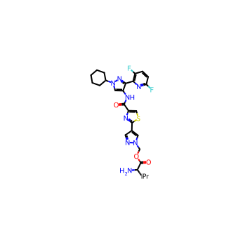 CC(C)C(N)C(=O)OCn1cc(-c2nc(C(=O)Nc3cn(C4CCCCC4)nc3-c3nc(F)ccc3F)cs2)cn1